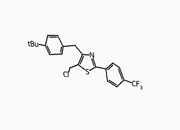 CC(C)(C)c1ccc(Cc2nc(-c3ccc(C(F)(F)F)cc3)sc2CCl)cc1